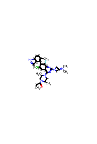 C=CC(=O)N1C[C@H](C)N(c2nc(N3CC(N(C)C)C3)nc3c(F)c(-c4c(C)ccc5[nH]nc([N+](=O)[O-])c45)c(Cl)cc23)C[C@H]1C